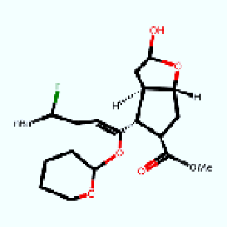 CCCCC(F)CC=C(OC1CCCCO1)[C@@H]1[C@H]2CC(O)O[C@@H]2C[C@H]1C(=O)OC